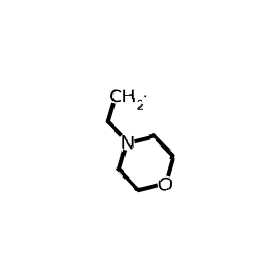 [CH2]CN1CCOCC1